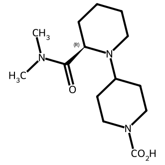 CN(C)C(=O)[C@H]1CCCCN1C1CCN(C(=O)O)CC1